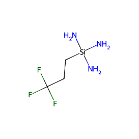 N[Si](N)(N)CCC(F)(F)F